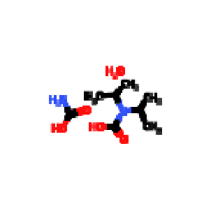 CC(C)N(C(=O)O)C(C)C.NC(=O)O.O